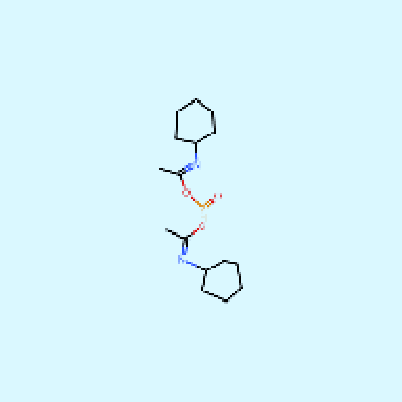 CC(=NC1CCCCC1)O[PH](=O)OC(C)=NC1CCCCC1